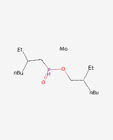 CCCCC(CC)CO[PH](=O)CC(CC)CCCC.[Mo]